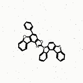 c1ccc(-c2cc3oc(-n4c5ccccc5c5c6c(ccc54)sc4ccccc46)nc3c3c2oc2ccccc23)cc1